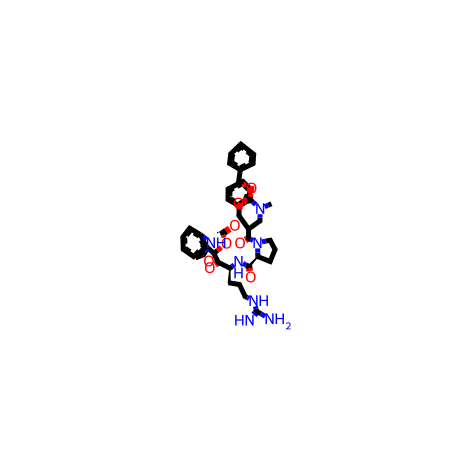 CN(CC(Cc1ccccc1)C(=O)N1CCC[C@H]1C(=O)N[C@@H](CCCNC(=N)N)C(=O)C(O[C]=O)c1c2cccc1C(=O)N2)C(=O)OCc1ccccc1